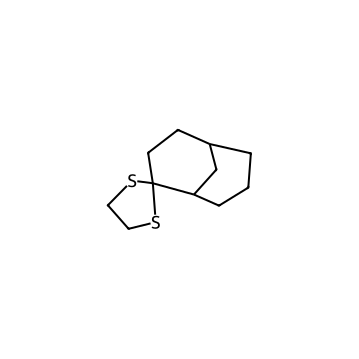 C1CC2CCC3(SCCS3)C(C1)C2